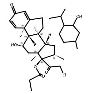 CC1CCC(C(C)C)C(O)C1.CCC(=O)O[C@]1(C(=O)CCl)[C@@H](C)C[C@H]2[C@@H]3CCC4=CC(=O)C=C[C@]4(C)[C@@]3(F)[C@@H](O)C[C@@]21C